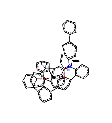 C=C/C=C(\C=C)c1cccc2c1-c1ccccc1C21c2c(-c3ccc(-c4ccccc4N(c4ccc(-c5ccccc5)cc4)c4ccc5c(c4)C(C)(C)c4ccccc4-5)cc3)cccc2C2C=CC=CC21